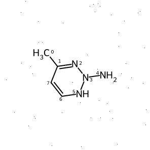 CC1=NN(N)NC=C1